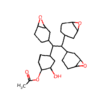 CC(=O)OC1CCC(C(C2CCC3OC3C2)C(C2CCC3OC3C2)C2CCC3OC3C2)CC1O